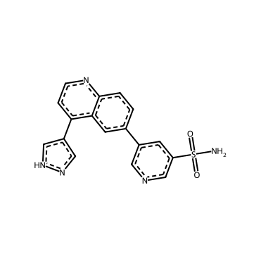 NS(=O)(=O)c1cncc(-c2ccc3nccc(-c4cn[nH]c4)c3c2)c1